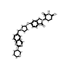 O=C1CCC(N2Cc3cc(O[C@H]4CCN(Cc5ccc6nc([C@@H]7CCCOC7)ncc6c5)C4)ccc3C2=O)C(=O)N1